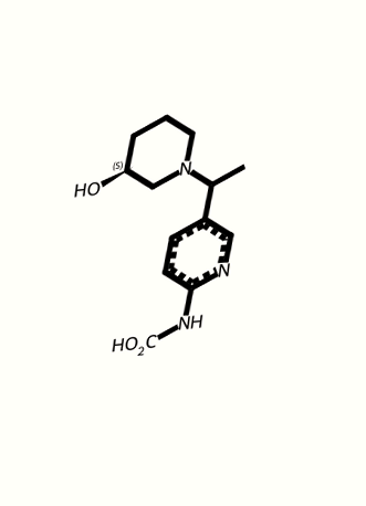 CC(c1ccc(NC(=O)O)nc1)N1CCC[C@H](O)C1